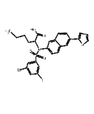 CCCCC(C(=O)O)N(c1ccc2cc(-c3ccco3)ccc2c1)S(=O)(=O)c1cc(Cl)cc(Cl)c1